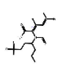 CCCC(CCC(F)(F)F)N(C=O)/C(C(N)=O)=C(C)\C=C(/C)Br